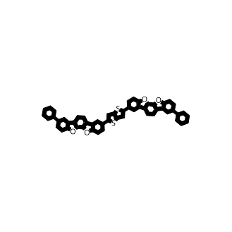 c1ccc(-c2ccc3oc4c(ccc5c6cc(-c7cc8sc(-c9ccc%10oc%11c(ccc%12c%13cc(-c%14ccccc%14)ccc%13oc%12%11)c%10c9)cc8s7)ccc6oc54)c3c2)cc1